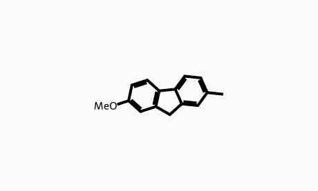 COc1ccc2c(c1)Cc1cc(C)ccc1-2